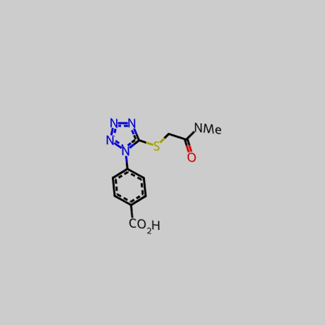 CNC(=O)CSc1nnnn1-c1ccc(C(=O)O)cc1